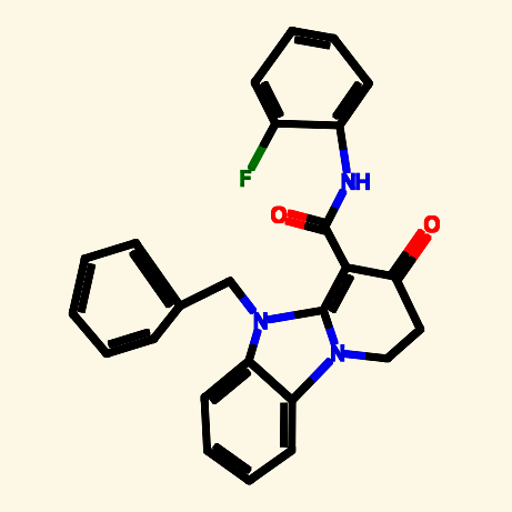 O=C1CCN2C(=C1C(=O)Nc1ccccc1F)N(Cc1ccccc1)c1ccccc12